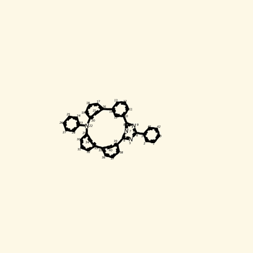 c1ccc(-c2nc3nc(n2)-c2cccc(c2)-c2cccc(c2)N(c2ccccc2)c2cccc(c2)-c2cccc-3c2)cc1